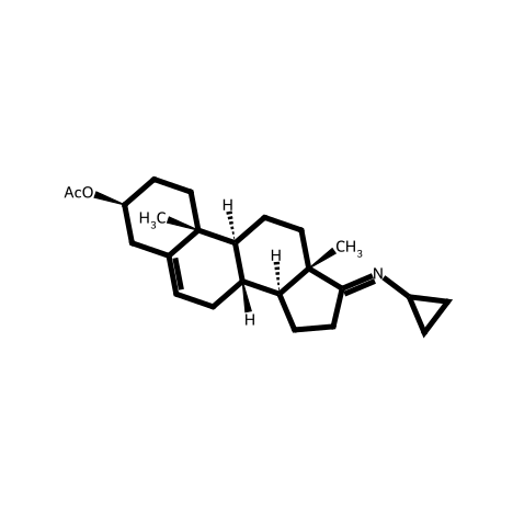 CC(=O)O[C@H]1CC[C@@]2(C)C(=CC[C@@H]3[C@@H]2CC[C@]2(C)C(=NC4CC4)CC[C@@H]32)C1